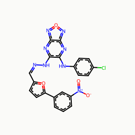 O=[N+]([O-])c1cccc(-c2ccc(/C=N\Nc3nc4nonc4nc3Nc3ccc(Cl)cc3)o2)c1